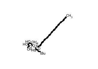 CC#CC#CC#CC#CC#CC#CC#CC#CC#CC#CC#CC#CC(=O)N[C@@H](CO[C@H]1OC(CO)[C@H](O)[C@H](O)C1O)[C@H](O)CCCC(C)(C)C